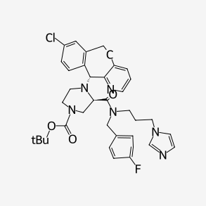 CC(C)(C)OC(=O)N1CCN([C@@H]2c3ccc(Cl)cc3CCc3cccnc32)[C@@H](C(=O)N(CCCn2ccnc2)Cc2ccc(F)cc2)C1